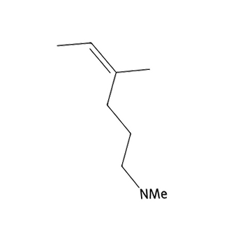 C/C=C(/C)CCCNC